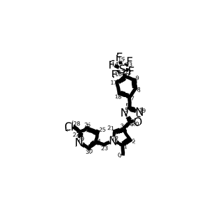 Cc1cc(-c2nc(-c3ccc(S(F)(F)(F)(F)F)cc3)no2)cn1Cc1ccc(Cl)nc1